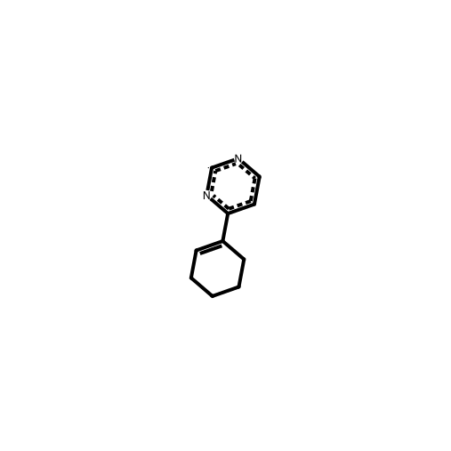 [c]1nccc(C2=CCCCC2)n1